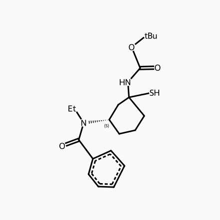 CCN(C(=O)c1ccccc1)[C@H]1CCCC(S)(NC(=O)OC(C)(C)C)C1